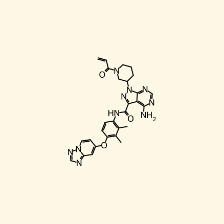 C=CC(=O)N1CCCC(n2nc(C(=O)Nc3ccc(Oc4ccn5ncnc5c4)c(C)c3C)c3c(N)ncnc32)C1